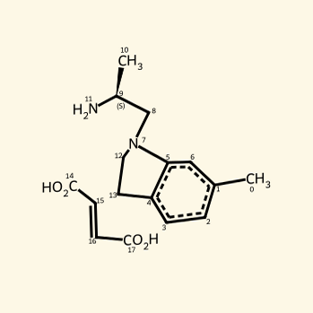 Cc1ccc2c(c1)N(C[C@H](C)N)CC2.O=C(O)C=CC(=O)O